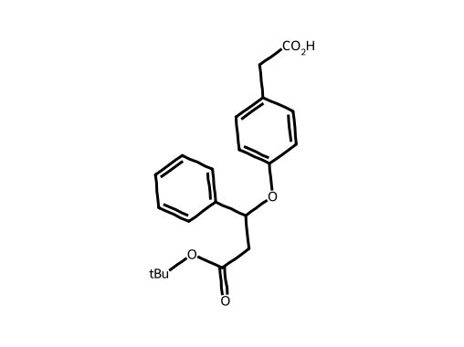 CC(C)(C)OC(=O)CC(Oc1ccc(CC(=O)O)cc1)c1ccccc1